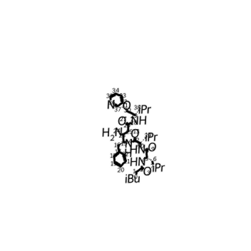 CCC(C)CC(=O)N[C@@H](CC(C)C)C(=O)N[C@H](C(=O)N[C@@H](Cc1ccccc1)[C@@H](N)CC(=O)N[C@H](COc1cccnc1)C(C)C)C(C)C